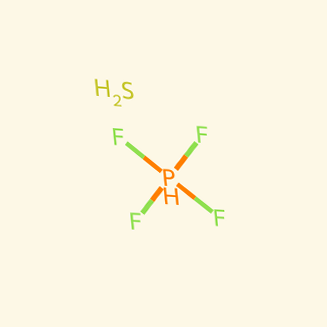 F[PH](F)(F)F.S